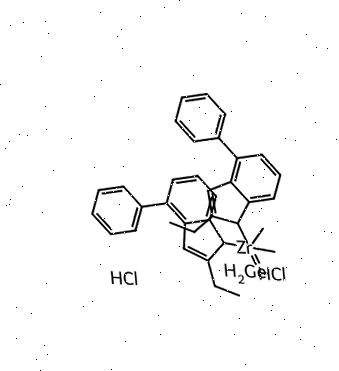 CCC1=Cc2c(-c3ccccc3)cccc2[CH]1[Zr]([CH3])([CH3])(=[GeH2])[CH]1C(CC)=Cc2c(-c3ccccc3)cccc21.Cl.Cl